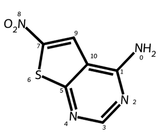 Nc1ncnc2sc([N+](=O)[O-])cc12